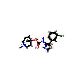 C[N+]12CCCC(OC(=O)Nc3ncsc3-c3cccc(Cl)c3)(CC1)CC2